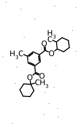 Cc1cc(C(=O)OC2CCCCC2C)cc(C(=O)OC2(C)CCCCC2)c1